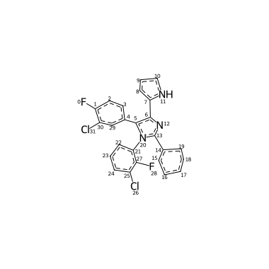 Fc1ccc(-c2c(-c3ccc[nH]3)nc(-c3ccccc3)n2-c2cccc(Cl)c2F)cc1Cl